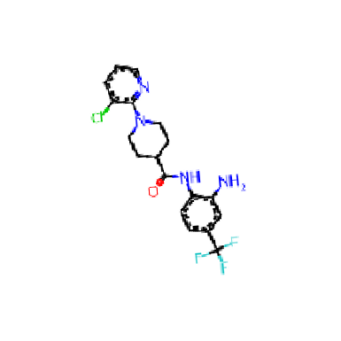 Nc1cc(C(F)(F)F)ccc1NC(=O)C1CCN(c2ncccc2Cl)CC1